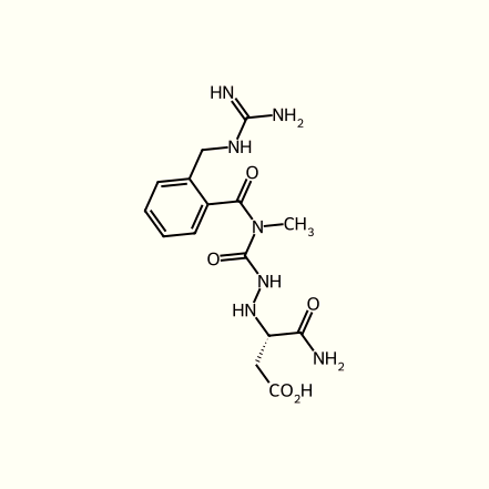 CN(C(=O)NN[C@@H](CC(=O)O)C(N)=O)C(=O)c1ccccc1CNC(=N)N